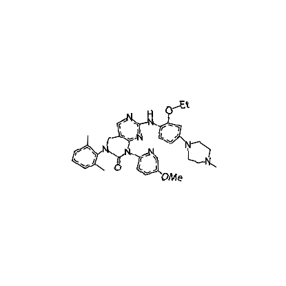 CCOc1cc(N2CCN(C)CC2)ccc1Nc1ncc2c(n1)N(c1ccc(OC)cn1)C(=O)N(c1c(C)cccc1C)C2